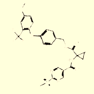 COc1ccc(Oc2ccc(CNC(=O)C3(NC(=O)c4cnc(S(C)(=O)=O)nc4)CC3)cc2)c(C(F)(F)F)c1